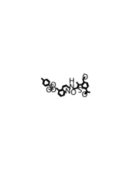 COCc1ccc(C(C)=O)c2sc(C(=O)Nc3ccc4c(COS(=O)(=O)c5ccc(C)cc5)cccc4n3)c(C)c12